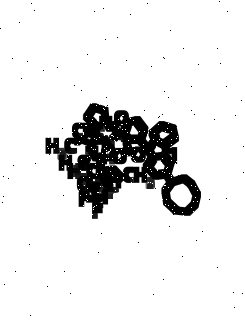 CC(C)C[C@](C)(NC(=O)C(F)(F)F)C(=O)N(C)[C@H](C(=O)N[C@@H](CC(=O)OC(c1ccccc1)(c1ccc(C2CCCCCCCC2)cc1)c1ccccc1Cl)C(=O)N1CCCC1)C(C)C